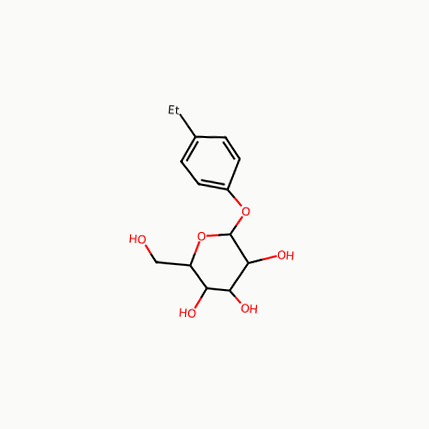 CCc1ccc(OC2OC(CO)C(O)C(O)C2O)cc1